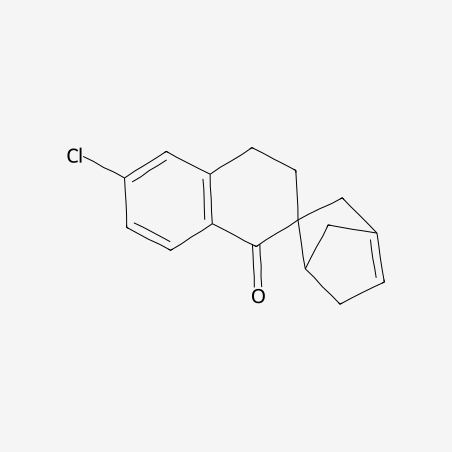 O=C1c2ccc(Cl)cc2CCC12CC1=CCC2C1